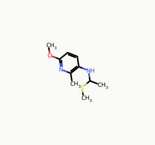 COc1ccc(NC(C)SC)c(C)n1